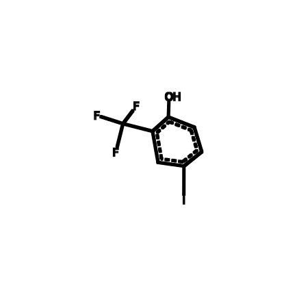 Oc1ccc(I)cc1C(F)(F)F